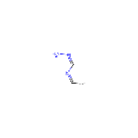 CC/C=N\C=N/N